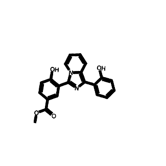 COC(=O)c1ccc(O)c(-c2nc(-c3ccccc3O)c3ccccn23)c1